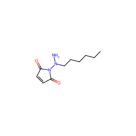 CCCCCCN(N)N1C(=O)C=CC1=O